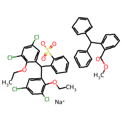 CCOc1c(Cl)cc(Cl)cc1C(c1ccccc1S(=O)(=O)[O-])c1cc(Cl)cc(Cl)c1OCC.COC(=O)c1ccccc1C(c1ccccc1)c1ccccc1.[Na+]